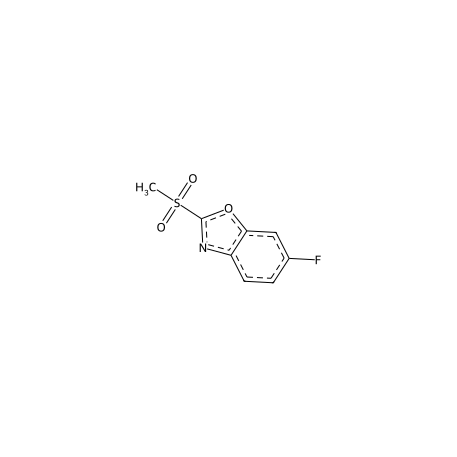 CS(=O)(=O)c1nc2ccc(F)cc2o1